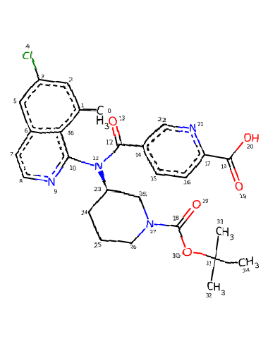 Cc1cc(Cl)cc2ccnc(N(C(=O)c3ccc(C(=O)O)nc3)[C@@H]3CCCN(C(=O)OC(C)(C)C)C3)c12